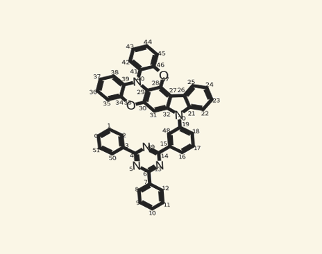 c1ccc(-c2nc(-c3ccccc3)nc(-c3cccc(-n4c5ccccc5c5c6c7c(cc54)Oc4ccccc4N7c4ccccc4O6)c3)n2)cc1